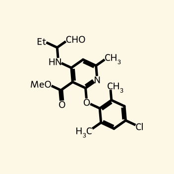 CCC(C=O)Nc1cc(C)nc(Oc2c(C)cc(Cl)cc2C)c1C(=O)OC